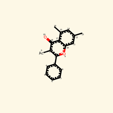 CC(=O)c1c(-c2ccccc2)oc2cc(C)cc(C)c2c1=O